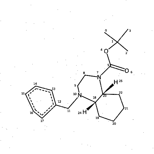 CC(C)(C)OC(=O)N1CCN(Cc2ccccc2)[C@H]2CCCC[C@H]21